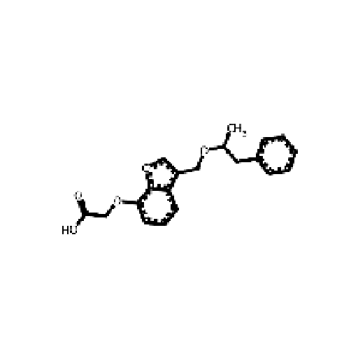 CC(Cc1ccccc1)OCc1coc2c(OCC(=O)O)cccc12